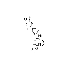 CC1CC(=O)NN=C1c1ccc(NC(=O)C2SCCN2C(=O)OC(C)(C)C)cc1